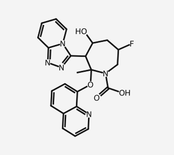 CC1(Oc2cccc3cccnc23)C(c2nnc3ccccn23)C(O)CC(F)CN1C(=O)O